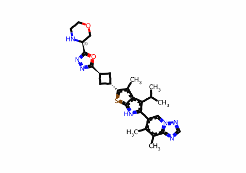 Cc1c(-c2[nH]c3sc([C@H]4C[C@H](c5nnc([C@@H]6COCCN6)o5)C4)c(C)c3c2C(C)C)cn2ncnc2c1C